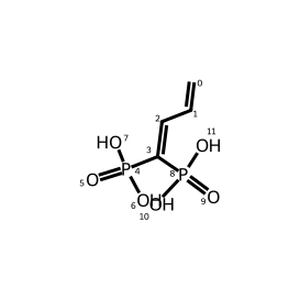 C=CC=C(P(=O)(O)O)P(=O)(O)O